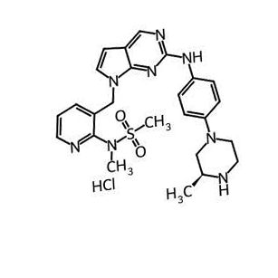 C[C@H]1CN(c2ccc(Nc3ncc4ccn(Cc5cccnc5N(C)S(C)(=O)=O)c4n3)cc2)CCN1.Cl